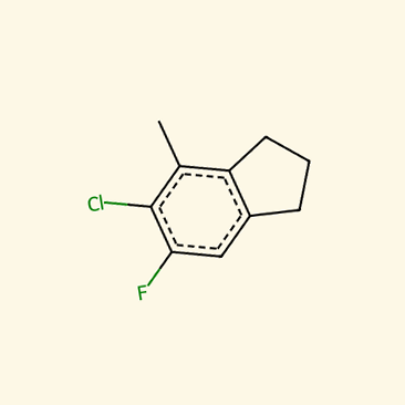 Cc1c(Cl)c(F)cc2c1CCC2